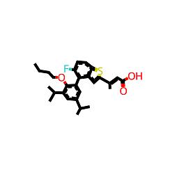 CCCCOc1c(-c2c(F)ccc3sc(/C(C)=C/C(=O)O)cc23)cc(C(C)C)cc1C(C)C